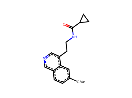 COc1ccc2cncc(CCNC(=O)C3CC3)c2c1